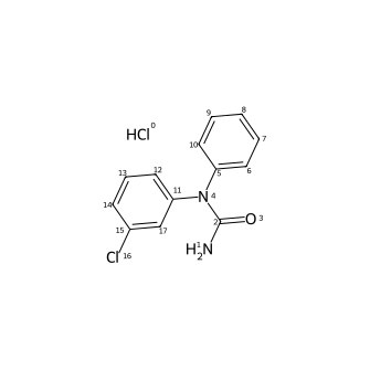 Cl.NC(=O)N(c1ccccc1)c1cccc(Cl)c1